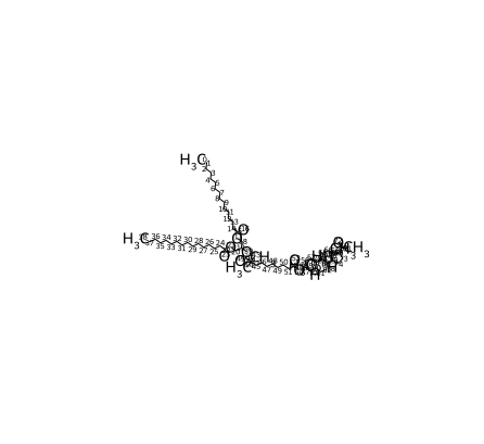 CCCCCCCCCCCCCCCC(=O)OCC(COC(=O)CCCCCCCCCCCCCCC)OC(=O)C(C)(C)CCCCCCCC(=O)O[C@@H]1CC[C@@]2(C)[C@@H](CC[C@@H]3[C@@H]2CC[C@]2(C)[C@@H](C(C)=O)CC[C@@H]32)C1